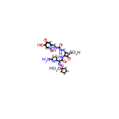 NC1=NC(/C(=N/OC2(C(=O)O)CCCC2)C(=O)N[C@@H]2C(=O)N(S(=O)(=O)O)[C@@H]2CNC(=O)NCc2cc(=O)c(O)cn2O)CS1